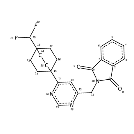 O=C1c2ccccc2C(=O)N1Cc1cc(C23CCC(C(F)F)(CC2)CC3)ncn1